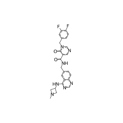 CN1CC(Nc2ncnc3ccc(CNC(=O)c4cncn(Cc5ccc(F)c(F)c5)c4=O)cc23)C1